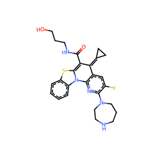 O=C(NCCCO)C1=C2Sc3ccccc3N2c2nc(N3CCCNCC3)c(F)cc2C1=C1CC1